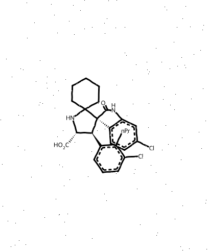 CCCc1c(Cl)cccc1[C@H]1[C@H](C(=O)O)NC2(CCCCC2)[C@@]12C(=O)Nc1cc(Cl)ccc12